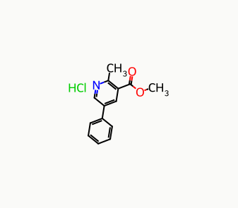 COC(=O)c1cc(-c2ccccc2)cnc1C.Cl